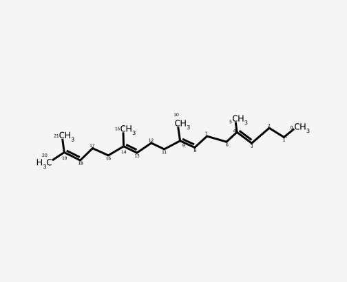 C[CH]C/C=C(\C)CC/C=C(\C)CC/C=C(\C)CCC=C(C)C